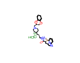 Cl.Cl.O=C(NCCCC1CCN(CC2COc3ccccc3O2)CC1)C1=Cc2cnc3cccc(n23)S1